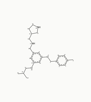 Cc1ccc(COc2cc(CNCC3CCNC3)cc(OCC(C)C)c2)cc1